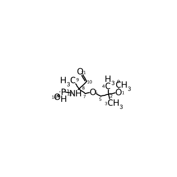 COC(C)(C)COCC(C)(C=O)N[PH]=O